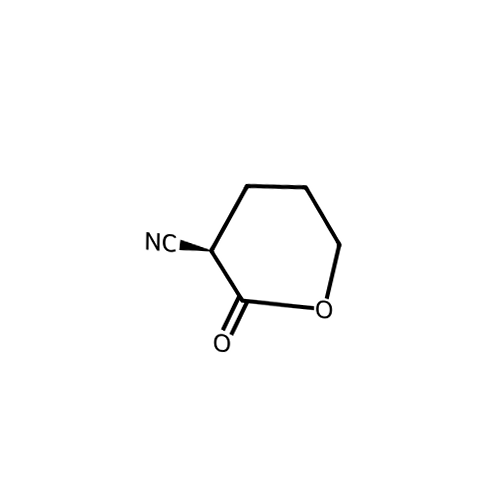 N#C[C@H]1CCCOC1=O